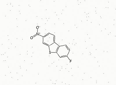 O=[N+]([O-])c1ccc2c(c1)sc1cc(F)ccc12